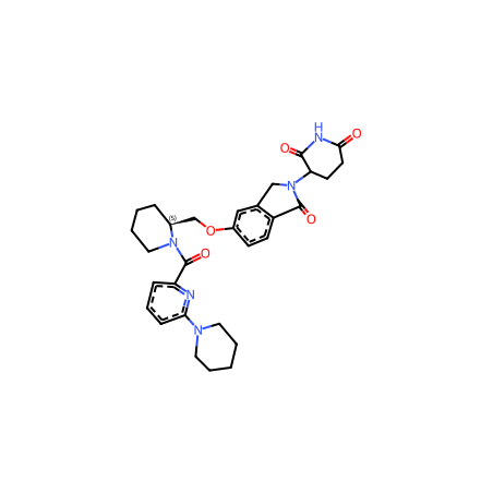 O=C1CCC(N2Cc3cc(OC[C@@H]4CCCCN4C(=O)c4cccc(N5CCCCC5)n4)ccc3C2=O)C(=O)N1